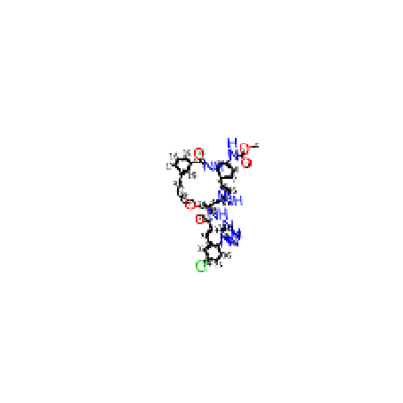 COC(=O)Nc1ccc2c(c1)NC(=O)c1cccc(c1)CCCOC[C@H](NC(=O)/C=C/c1cc(Cl)ccc1-n1cnnn1)c1nc-2c[nH]1